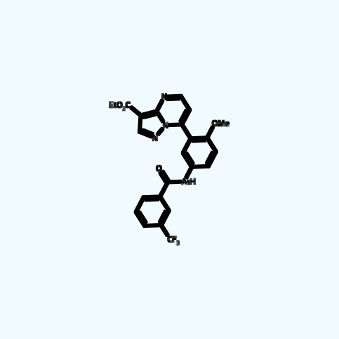 CCOC(=O)c1cnn2c(-c3cc([AsH]C(=O)c4cccc(C(F)(F)F)c4)ccc3OC)ccnc12